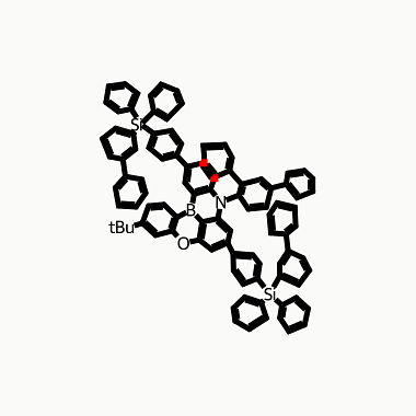 CC(C)(C)c1ccc2c(c1)Oc1cc(-c3ccc([Si](c4ccccc4)(c4ccccc4)c4cccc(-c5ccccc5)c4)cc3)cc3c1B2c1cc(-c2ccc([Si](c4ccccc4)(c4ccccc4)c4cccc(-c5ccccc5)c4)cc2)ccc1N3c1ccc(-c2ccccc2)cc1-c1ccccc1